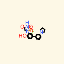 O=C1CN(c2c(O)ccc(-c3cccc(N4CCCC4)c3)c2F)S(=O)(=O)N1